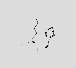 C=Cn1ccnc1.CCCCS(=O)(=O)O